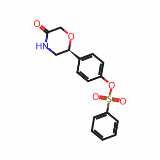 O=C1CO[C@@H](c2ccc(OS(=O)(=O)c3ccccc3)cc2)CN1